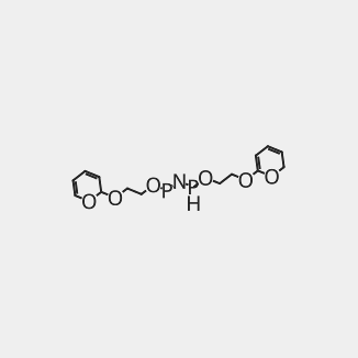 C1=CCOC(OCCOPN=POCCOC2C=CC=CO2)=C1